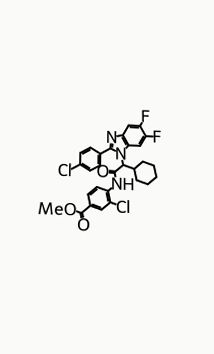 COC(=O)c1ccc(NC(=O)C(C2CCCCC2)n2c(-c3ccc(Cl)cc3)nc3cc(F)c(F)cc32)c(Cl)c1